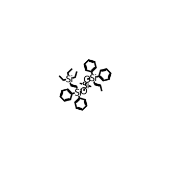 CC=C[Si](O[Si](C)(C)O[Si](C=C[Si](CC)(CC)CC)(c1ccccc1)c1ccccc1)(c1ccccc1)c1ccccc1